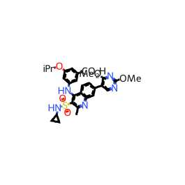 COc1ncc(-c2ccc3c(Nc4cc(OC(C)C)cc(C(=O)O)c4)c(S(=O)(=O)NC4CC4)c(C)nc3c2)c(OC)n1